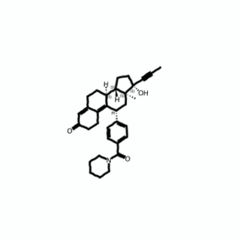 CC#C[C@]1(O)CC[C@H]2[C@@H]3CCC4=CC(=O)CCC4=C3[C@@H](c3ccc(C(=O)N4CCCCC4)cc3)C[C@@]21C